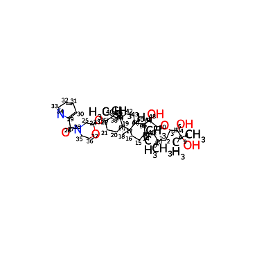 C[C@@H]1CC([C@H](O)C(C)(C)O)OC2C1[C@@]1(C)CCC34C[C@@]35CC[C@H](OC3CN(C(=O)c6ccccn6)CCO3)C(C)(C)[C@@H]5CC[C@H]4[C@]1(C)[C@H]2O